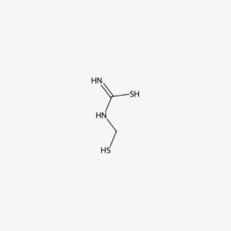 N=C(S)NCS